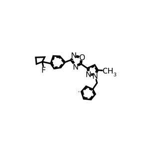 Cc1cc(-c2nc(-c3ccc(C4(F)CCC4)cc3)no2)nn1Cc1c[c]ccc1